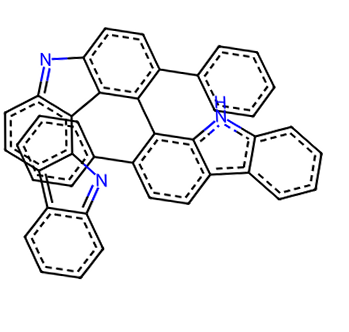 c1ccc(-c2ccc3c(c2-c2c(-c4ccccc4)ccc4c2[nH]c2ccccc24)-c2c4c(ccc2=N3)=c2ccccc2=N4)cc1